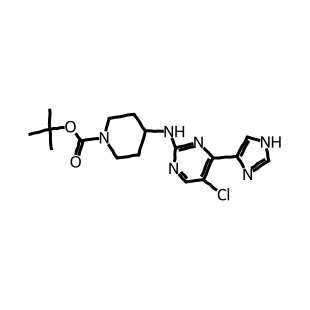 CC(C)(C)OC(=O)N1CCC(Nc2ncc(Cl)c(-c3c[nH]cn3)n2)CC1